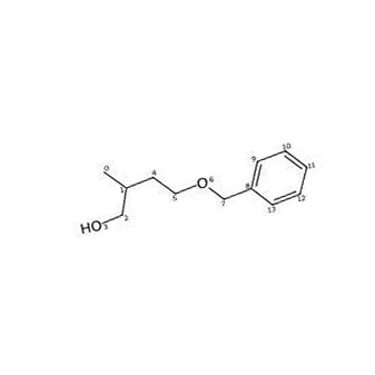 CC(CO)CCOCc1ccccc1